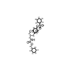 CCOC(=O)CC(CNC(=O)OCc1ccccc1)Cc1ccc(OS(=O)(=O)c2ccccc2)cc1